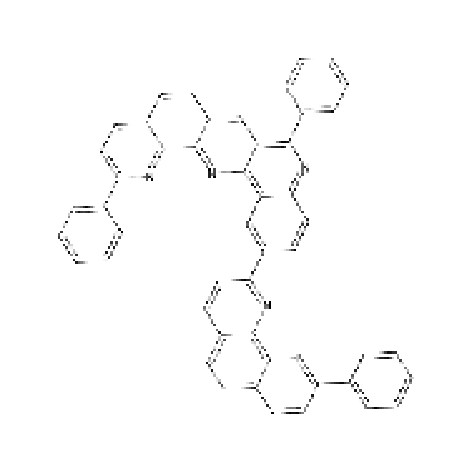 c1ccc(-c2ccc3ccc4ccc(-c5ccc6nc(-c7ccccc7)c7cc8ccc9ccc(-c%10ccccc%10)nc9c8nc7c6c5)nc4c3n2)cc1